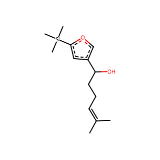 CC(C)=CCCC(O)c1coc([Si](C)(C)C)c1